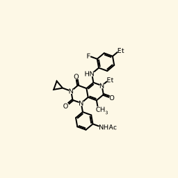 CCc1ccc(Nc2c3c(=O)n(C4CC4)c(=O)n(-c4cccc(NC(C)=O)c4)c3c(C)c(=O)n2CC)c(F)c1